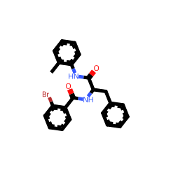 Cc1ccccc1NC(=O)C(Cc1ccccc1)NC(=O)c1ccccc1Br